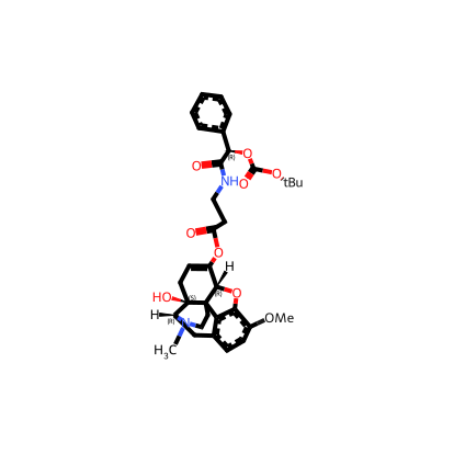 COc1ccc2c3c1O[C@H]1C(OC(=O)CCNC(=O)[C@H](OC(=O)OC(C)(C)C)c4ccccc4)=CC[C@@]4(O)[C@@H](C2)N(C)CCC314